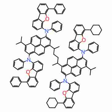 CC(C)c1cc(N(c2ccccc2)c2cccc3c2oc2c(-c4ccccc4)cccc23)c2ccc3c(C(C)CCC(C)c4cc(N(c5ccccc5)c5cccc6c5oc5c(C7CCCCC7)cccc56)c5ccc6c(C(C)C)cc(N(c7ccccc7)c7cccc8c7oc7c(C9CCCCC9)cccc78)c7ccc4c5c67)cc(N(c4ccccc4)c4cccc5c4oc4c(-c6ccccc6)cccc45)c4ccc1c2c34